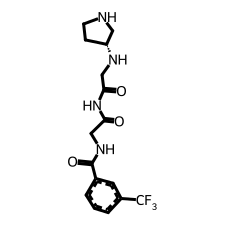 O=C(CNC(=O)c1cccc(C(F)(F)F)c1)NC(=O)CN[C@@H]1CCNC1